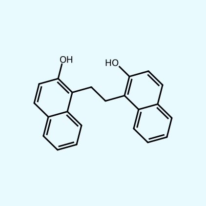 Oc1ccc2ccccc2c1CCc1c(O)ccc2ccccc12